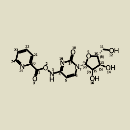 O=C(ONc1ccn([C@@H]2O[C@H](CO)[C@@H](O)[C@H]2O)c(=O)n1)c1ccccn1